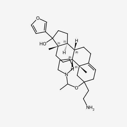 CC(OC1(CCN)CC=C2CC[C@@H]3[C@@H](CC[C@@]4(C)[C@H]3CCC4(O)c3ccoc3)[C@@]2(C)C1)N1CCCC1